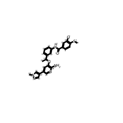 CSc1ccc(C(=O)Nc2cccc(C(C)Oc3cc(-c4cnn(C)c4)cnc3N)c2)cc1Cl